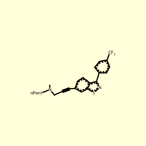 CCCCCN(C)CC#Cc1ccc2c(-c3ccc(C(F)(F)F)cc3)nsc2c1